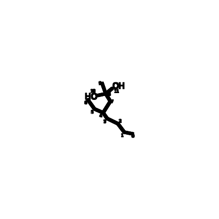 CCCCC(CC)CC(C)(O)O